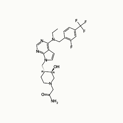 CCN(Cc1ccc(C(F)(F)F)cc1F)c1ncnc2c1ccn2C[C@H]1CCN(CC(N)=O)C[C@@H]1O